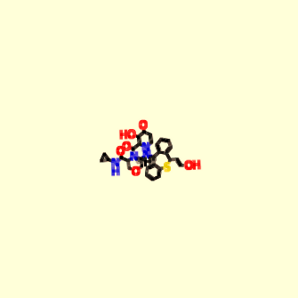 O=C(NC1CC1)C1COC[C@@H]2N1C(=O)c1c(O)c(=O)ccn1N2[C@@H]1c2ccccc2SC(C=CO)c2ccccc21